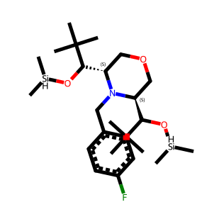 C[SiH](C)OC([C@@H]1COC[C@@H](C(O[SiH](C)C)C(C)(C)C)N1Cc1ccc(F)cc1)C(C)(C)C